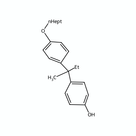 CCCCCCCOc1ccc(C(C)(CC)c2ccc(O)cc2)cc1